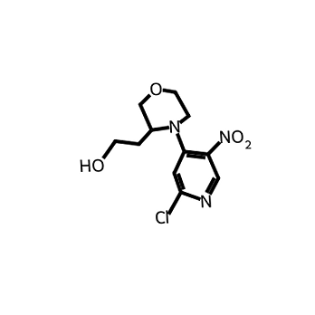 O=[N+]([O-])c1cnc(Cl)cc1N1CCOCC1CCO